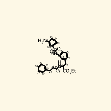 CCOC(=O)C(Cc1cccc(NS(=O)(=O)c2cccc(N)c2)c1)NC(=O)CCc1ccccc1